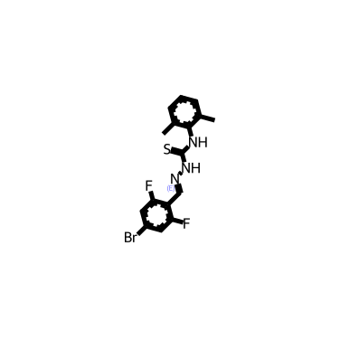 Cc1cccc(C)c1NC(=S)N/N=C/c1c(F)cc(Br)cc1F